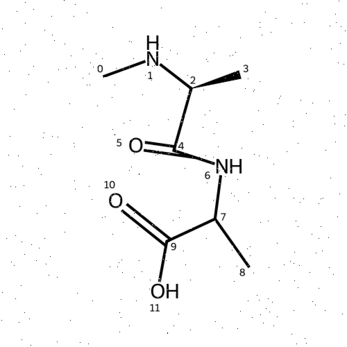 CN[C@@H](C)C(=O)NC(C)C(=O)O